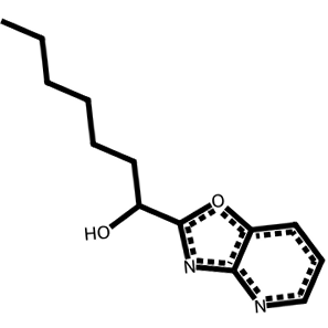 CCCCCCC(O)c1nc2ncccc2o1